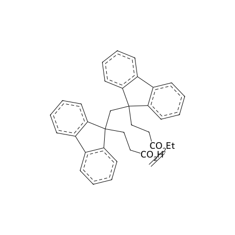 C=C.CCOC(=O)CCC1(CC2(CCC(=O)O)c3ccccc3-c3ccccc32)c2ccccc2-c2ccccc21